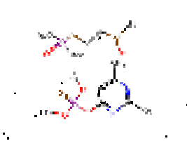 CCOP(=S)(OCC)Oc1cc(C)nc(C(C)C)n1.CC[S+]([O-])CCSP(=O)(OC)OC